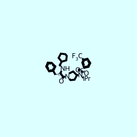 CC(C)N(C1CCN(C(=O)[C@H](Cc2ccccc2)NCC2CCCCC2)CC1)S(=O)(=O)c1cccc(C(F)(F)F)c1